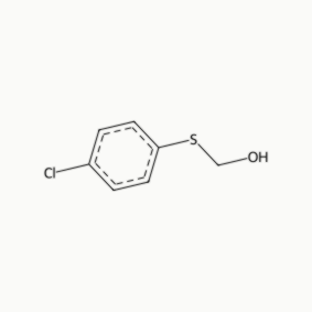 OCSc1ccc(Cl)cc1